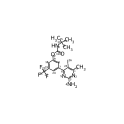 Cc1nc(N)nc(-c2cc(OC(=O)NC(C)(C)C)cc(C(F)(F)F)c2)c1I